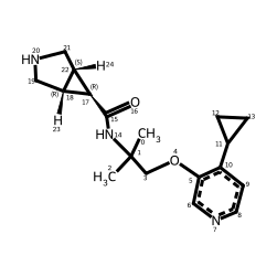 CC(C)(COc1cnccc1C1CC1)NC(=O)[C@H]1[C@@H]2CNC[C@@H]21